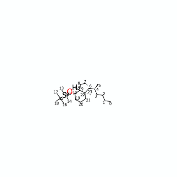 CCCC[C@H](C)[C@H]1CC[C@H]2C(O[Si](C)(C)C(C)(C)C)CCC[C@]12C